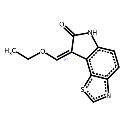 CCO/C=C1\C(=O)Nc2ccc3ncsc3c21